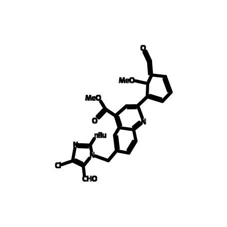 CCCCc1nc(Cl)c(C=O)n1Cc1ccc2nc(C3=CC=CC(=C=O)C3OC)cc(C(=O)OC)c2c1